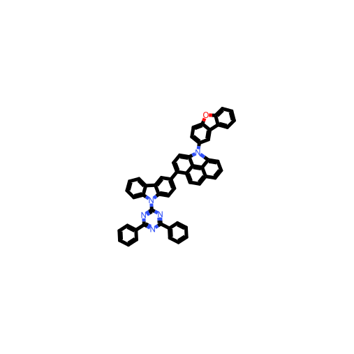 c1ccc(-c2nc(-c3ccccc3)nc(-n3c4ccccc4c4cc(-c5ccc6c7c5ccc5cccc(c57)n6-c5ccc6oc7ccccc7c6c5)ccc43)n2)cc1